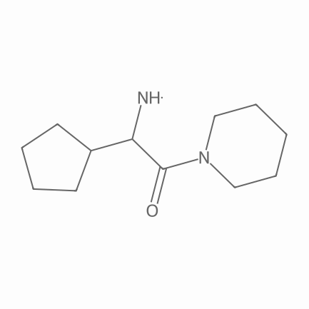 [NH]C(C(=O)N1CCCCC1)C1CCCC1